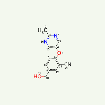 Cc1ncc(Oc2ccc(CO)cc2C#N)cn1